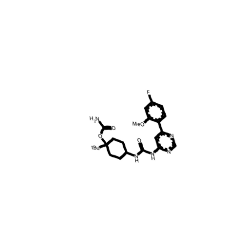 COc1cc(F)ccc1-c1cc(NC(=O)NC2CCC(OC(N)=O)(C(C)(C)C)CC2)ncn1